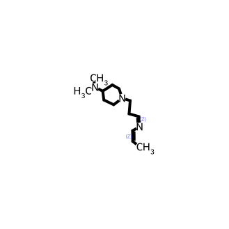 C/C=C\N=C/CCN1CCC(N(C)C)CC1